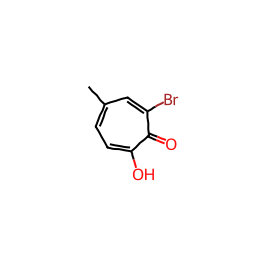 Cc1ccc(O)c(=O)c(Br)c1